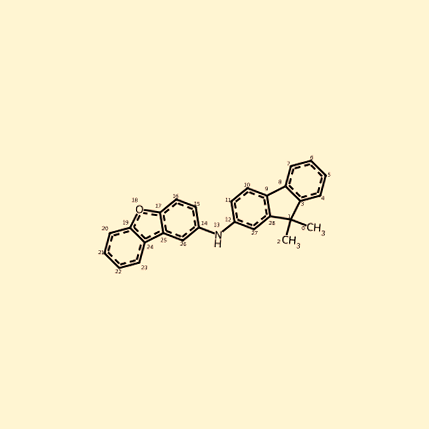 CC1(C)c2ccccc2-c2ccc(Nc3ccc4oc5ccccc5c4c3)cc21